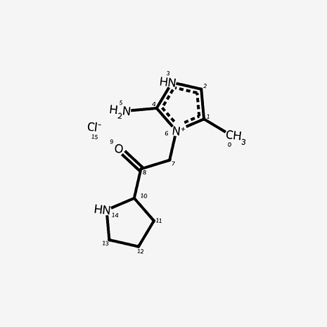 Cc1c[nH]c(N)[n+]1CC(=O)C1CCCN1.[Cl-]